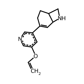 C=COc1cncc(C2=CC3NCC3CC2)c1